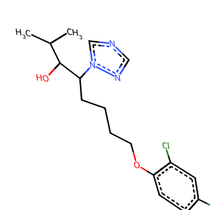 CC(C)C(O)C(CCCCOc1ccc(Cl)cc1Cl)n1cncn1